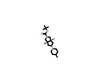 CC1CCN([C@@H]2C[C@@H]3CN(C(=O)OC(C)(C)C)C[C@@H]3C2)CC1